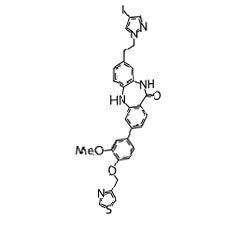 COc1cc(-c2ccc3c(c2)Nc2ccc(CCn4cc(I)cn4)cc2NC3=O)ccc1OCc1cscn1